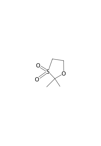 CC1(C)OCCS1(=O)=O